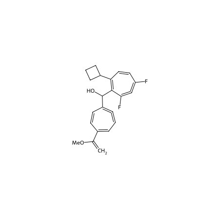 C=C(OC)C1=CC=C=C(C(O)C2=C(C3CCC3)C=CC(F)=C=C2F)C=C1